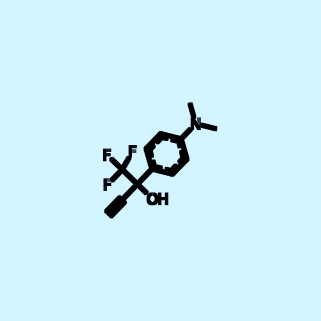 C#CC(O)(c1ccc(N(C)C)cc1)C(F)(F)F